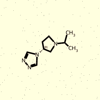 CC(C)N1CC[C@@H](n2cnnc2)C1